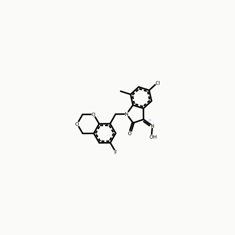 Cc1cc(Cl)cc2c1N(Cc1cc(F)cc3c1OCOC3)C(=O)/C2=N\O